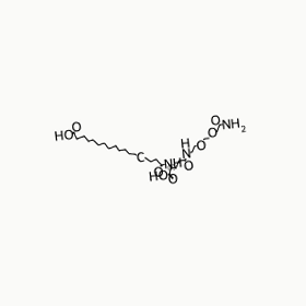 NC(=O)COCCOCCNC(=O)CC[C@H](NC(=O)CCCCCCCCCCCCCCCCC(=O)O)C(=O)O